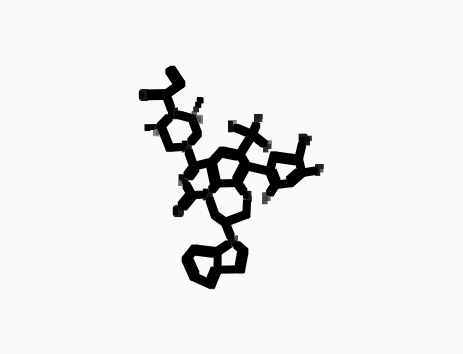 C=CC(=O)N1[C@H](C)CN(c2nc(=O)n3c4c(c(-c5cc(Br)c(F)cc5F)c(C(F)(F)F)cc24)SCC(n2ccc4ccccc42)C3)C[C@@H]1C